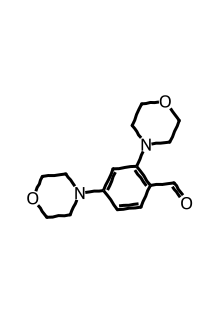 O=Cc1ccc(N2CCOCC2)cc1N1CCOCC1